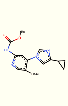 COc1cnc(NC(=O)OC(C)(C)C)cc1-n1cnc(C2CC2)c1